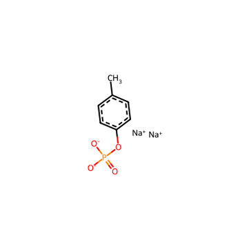 Cc1ccc(OP(=O)([O-])[O-])cc1.[Na+].[Na+]